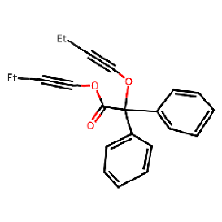 CCC#COC(=O)C(OC#CCC)(c1ccccc1)c1ccccc1